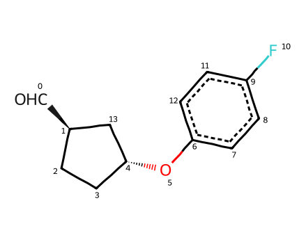 O=C[C@@H]1CC[C@@H](Oc2ccc(F)cc2)C1